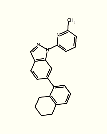 Cc1cccc(-n2ncc3ccc(-c4cccc5c4CCCC5)cc32)n1